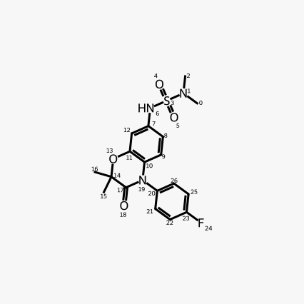 CN(C)S(=O)(=O)Nc1ccc2c(c1)OC(C)(C)C(=O)N2c1ccc(F)cc1